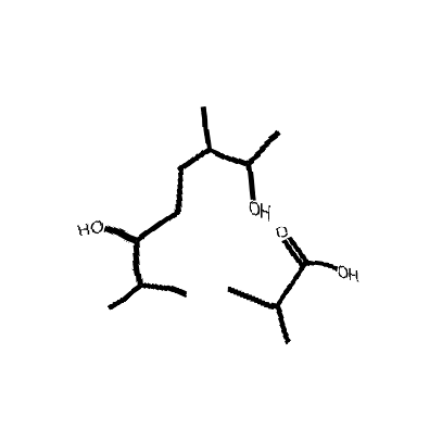 CC(C)C(=O)O.CC(C)C(O)CCC(C)C(C)O